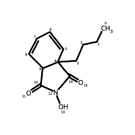 CCCCC12C=CC=CC1C(=O)N(O)C2=O